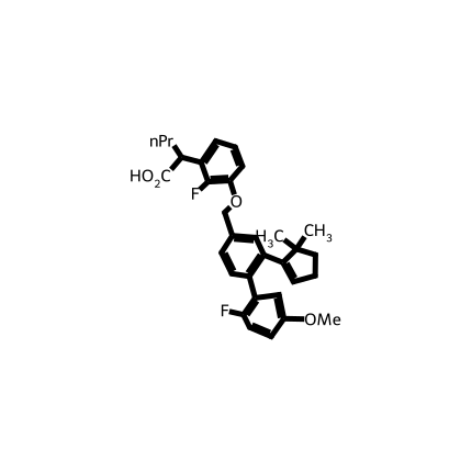 CCCC(C(=O)O)c1cccc(OCc2ccc(-c3cc(OC)ccc3F)c(C3=CCCC3(C)C)c2)c1F